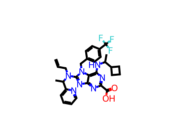 C=CCN(c1nc2nc(C(=O)O)nc(NC(C)C3CCC3)c2n1Cc1ccc(C(F)(F)F)cc1)C(C)c1ccccn1